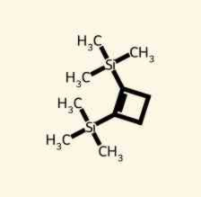 C[Si](C)(C)C1=C([Si](C)(C)C)CC1